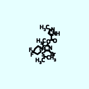 CCS1(N2CCC(F)(F)CC2)C(OC(=O)c2cc(C)n[nH]2)=NC(Br)=C1SC(C)C